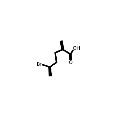 C=C(Br)CCC(=C)C(=O)O